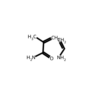 C=C(C)C(N)=O.C=CN